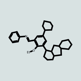 CCOc1c(/C=N/c2ccccc2)cc(C2CCCCC2)cc1C1CCCC2CC3CCCCC3CC21